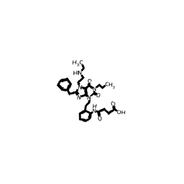 CCCn1c(=O)c2c(nc(Cc3ccccc3)n2CCNCC)n(CCc2ccccc2NC(=O)CCC(=O)O)c1=O